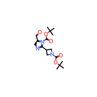 CC(C)(C)OC(=O)N1CC(c2ncc(C=O)n2C(=O)OC(C)(C)C)C1